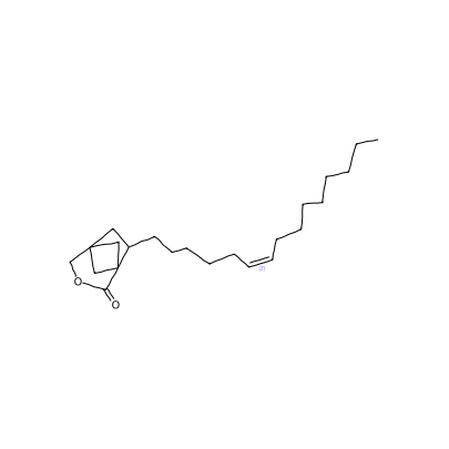 CCCCCCCC/C=C\CCCCCC1CC23COC(=O)C1(C2)C3